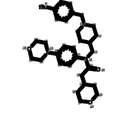 CC(C)(C)c1ccc(CN2CCC(CN(C(=O)CC3CCOCC3)c3ccc(N4CCOCC4)cc3)CC2)cc1